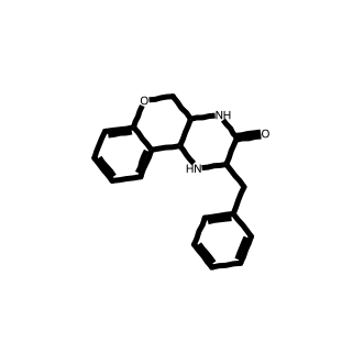 O=C1NC2COc3ccccc3C2NC1Cc1ccccc1